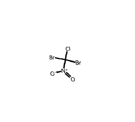 O=[N+]([O-])C(Cl)(Br)Br